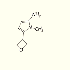 Cn1c(N)ccc1C1COC1